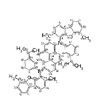 Cc1ccc2c(oc3c(C)cccc32)c1N(c1cccc(C(C)C)c1)c1ccc2ccc3c(N(c4cccc(C(C)C)c4)c4c(C)ccc5c4oc4c(C)cccc45)ccc4ccc1c2c43